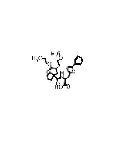 CCCOC(=O)[C@H](CCOC)CC1(C(=O)N[C@@H](Cc2ncc(-c3ccccc3)o2)C(=O)O)CCCC1